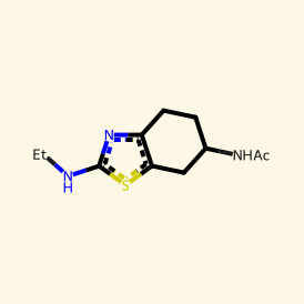 CCNc1nc2c(s1)CC(NC(C)=O)CC2